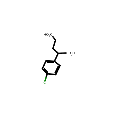 O=C(O)CCC(C(=O)O)c1ccc(Cl)cc1